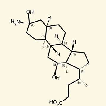 C[C@H](CCC(=O)O)[C@H]1CC[C@H]2[C@@H]3CC[C@@H]4C[C@](N)(O)CC[C@]4(C)[C@H]3C[C@H](O)[C@]12C